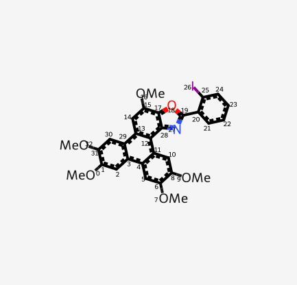 COc1cc2c3cc(OC)c(OC)cc3c3c(cc(OC)c4oc(-c5ccccc5I)nc43)c2cc1OC